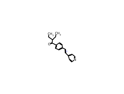 CCC(CC)C(=O)c1ccc(/C=C/c2ccncc2)cc1